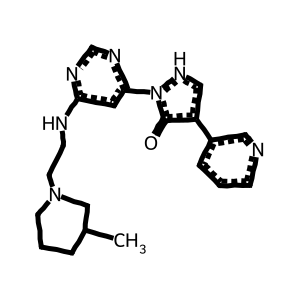 CC1CCCN(CCNc2cc(-n3[nH]cc(-c4cccnc4)c3=O)ncn2)C1